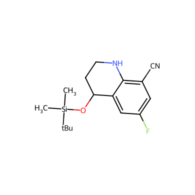 CC(C)(C)[Si](C)(C)OC1CCNc2c(C#N)cc(F)cc21